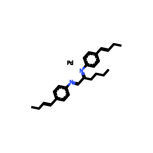 CCC=Cc1ccc(N=CC(CCCC)=Nc2ccc(C=CCC)cc2)cc1.[Pd]